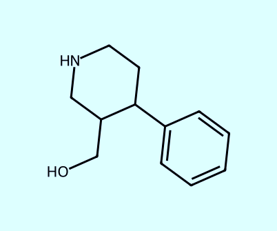 OCC1CNCCC1c1ccccc1